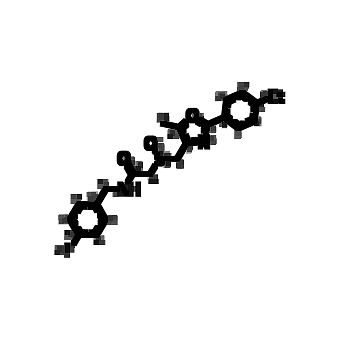 CCc1ccc(-c2nc(C[S+]([O-])CC(=O)NCc3ccc(F)cc3)c(C)o2)cc1